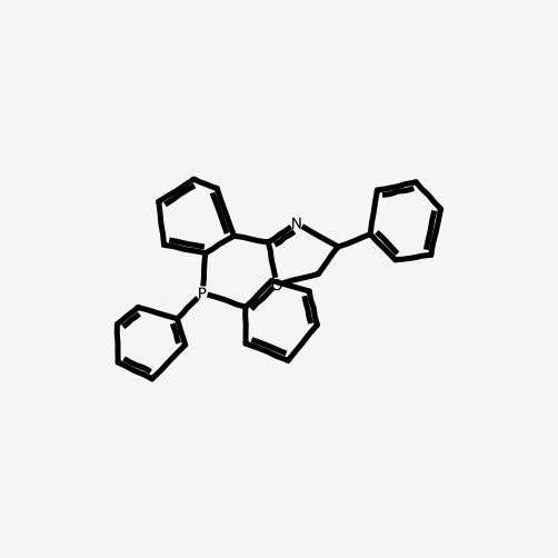 c1ccc(C2COC(c3ccccc3P(c3ccccc3)c3ccccc3)=N2)cc1